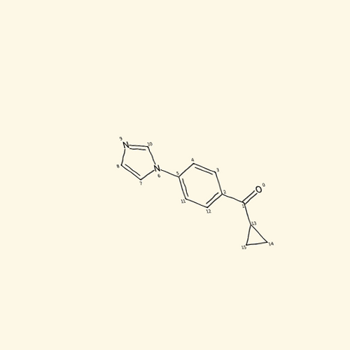 O=C(c1ccc(-n2ccnc2)cc1)C1CC1